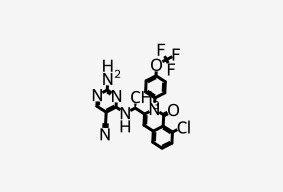 C[C@H](Nc1nc(N)ncc1C#N)c1cc2cccc(Cl)c2c(=O)n1-c1ccc(OC(F)(F)F)cc1